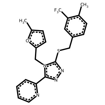 Cc1ccc(Cn2c(SCc3ccc(C)c(C(F)(F)F)c3)nnc2-c2ccccn2)o1